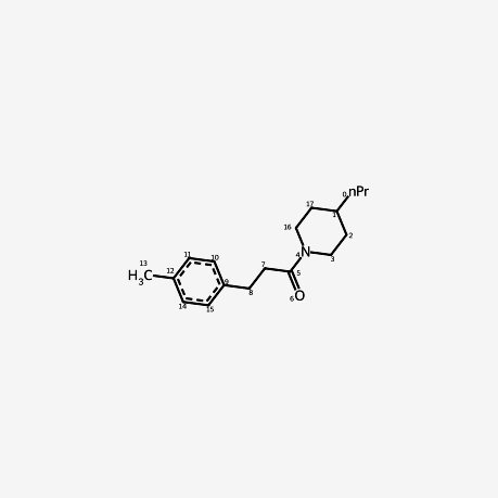 CCCC1CCN(C(=O)CCc2ccc(C)cc2)CC1